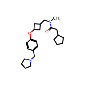 CN(CC1CC(Oc2ccc(CN3CCCC3)cc2)C1)C(=O)CC1CCCC1